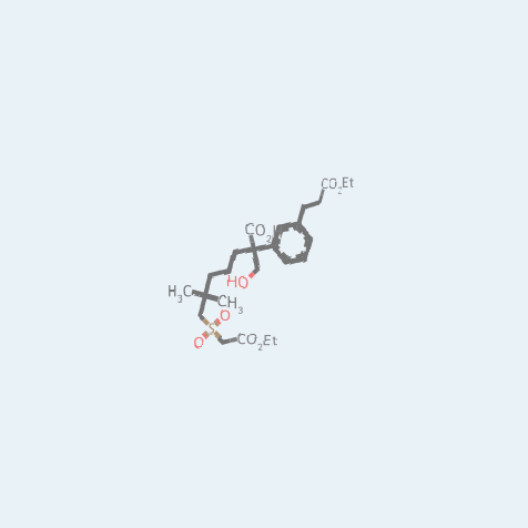 CCOC(=O)CCc1cccc(C(CO)(CCCC(C)(C)CS(=O)(=O)CC(=O)OCC)C(=O)O)c1